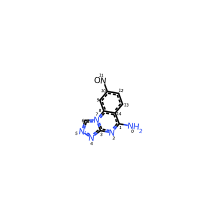 Nc1nc2nncn2c2cc(N=O)ccc12